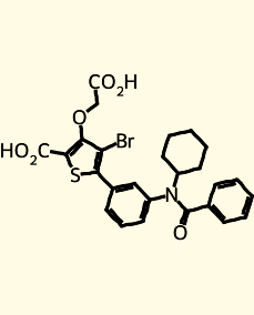 O=C(O)COc1c(C(=O)O)sc(-c2cccc(N(C(=O)c3ccccc3)C3CCCCC3)c2)c1Br